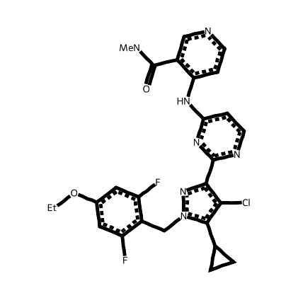 CCOc1cc(F)c(Cn2nc(-c3nccc(Nc4ccncc4C(=O)NC)n3)c(Cl)c2C2CC2)c(F)c1